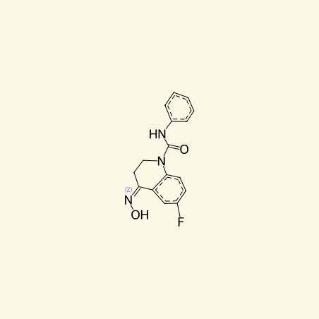 O=C(Nc1ccccc1)N1CC/C(=N/O)c2cc(F)ccc21